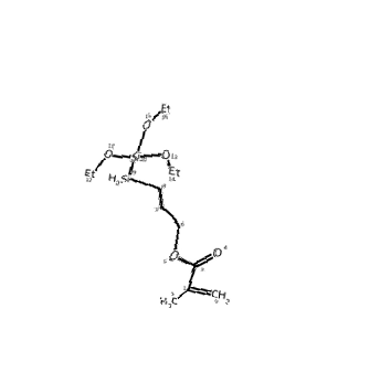 C=C(C)C(=O)OCCC[SiH2][Si](OCC)(OCC)OCC